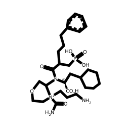 NCCC[N+]1(C(N)=O)CCOCC1N(C(=O)C(CCCc1ccccc1)CP(=O)(O)O)[C@@H](CC1CCCCC1)C(=O)O